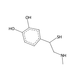 CNCC(S)c1ccc(O)c(O)c1